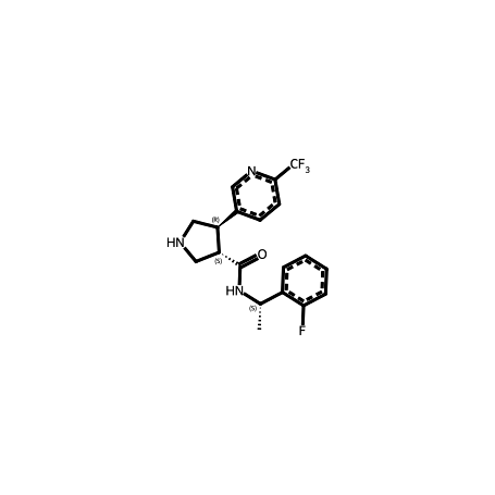 C[C@H](NC(=O)[C@@H]1CNC[C@H]1c1ccc(C(F)(F)F)nc1)c1ccccc1F